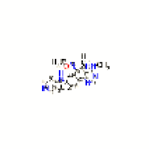 CNc1ncnc2c1=C(C)/C(=N/OC)C1=CC(C)(NC3CCNCC3)C=CC=21